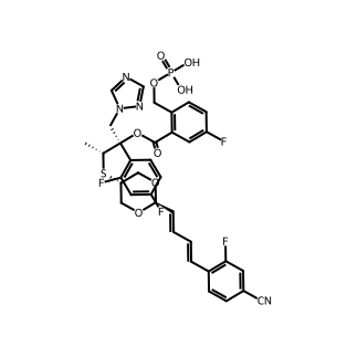 C[C@@H](S[C@H]1CO[C@H](C=CC=Cc2ccc(C#N)cc2F)OC1)[C@@](Cn1cncn1)(OC(=O)c1cc(F)ccc1COP(=O)(O)O)c1ccc(F)cc1F